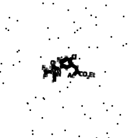 CCOC(=O)C(Cc1cc(-n2nc(C)n(C(F)F)c2=O)c(F)cc1Cl)C(C)=O